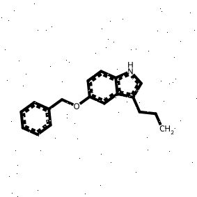 [CH2]CCc1c[nH]c2ccc(OCc3ccccc3)cc12